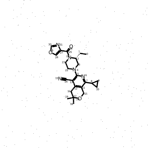 CC[C@@H]1CN(c2nc(C3CC3)c3c(c2C#N)CC(C)(C)OC3)CCN1C(=O)c1cocn1